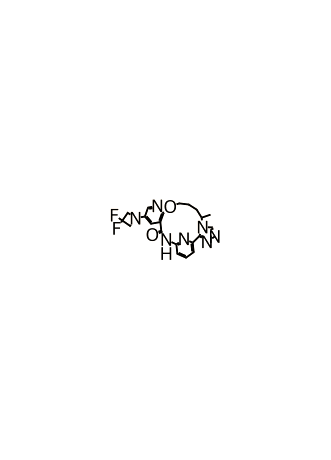 CC1CCCOc2ncc(N3CC(F)(F)C3)cc2C(=O)Nc2cccc(n2)-c2nncn21